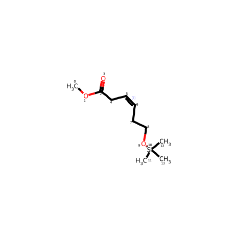 COC(=O)C/C=C\CCO[Si](C)(C)C